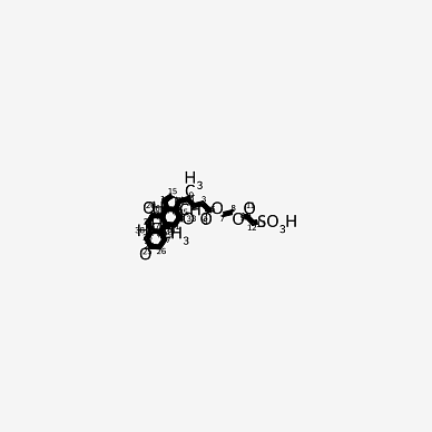 C[C@H](CCC(=O)OCCOC(=O)CS(=O)(=O)O)[C@H]1CC[C@H]2[C@@H]3C(=O)C[C@@H]4CC(=O)CC[C@]4(C)[C@H]3CC(=O)[C@]12C